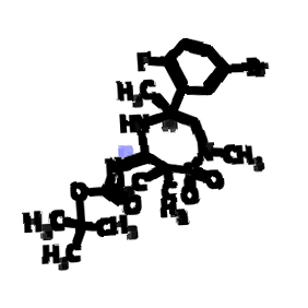 CN1C[C@@](C)(c2cc(Br)ccc2F)N/C(=N/C(=O)OC(C)(C)C)C(C)(C)S1(=O)=O